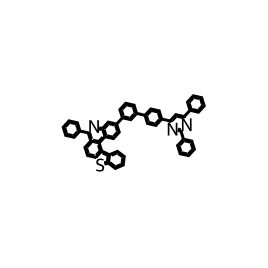 c1ccc(-c2cc(-c3ccc(-c4cccc(-c5ccc6c(c5)nc(-c5ccccc5)c5ccc7sc8ccccc8c7c56)c4)cc3)nc(-c3ccccc3)n2)cc1